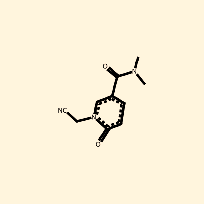 CN(C)C(=O)c1ccc(=O)n(CC#N)c1